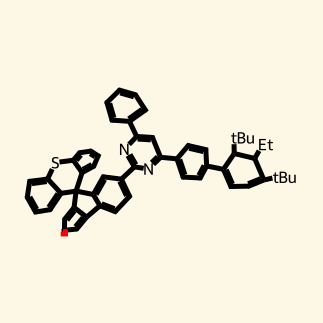 CCC1C(C(C)(C)C)=CC=C(c2ccc(-c3cc(-c4ccccc4)nc(-c4ccc5c(c4)C4(c6ccccc6Sc6ccccc64)c4ccccc4-5)n3)cc2)C1C(C)(C)C